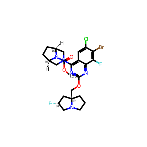 CC(C)(C)OC(=O)N1[C@@H]2CC[C@H]1CN(c1nc(OC[C@@]34CCCN3C[C@H](F)C4)nc3c(F)c(Br)c(Cl)cc13)C2